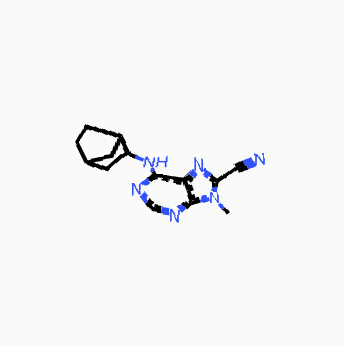 Cn1c(C#N)nc2c(NC3CC4CCC3C4)ncnc21